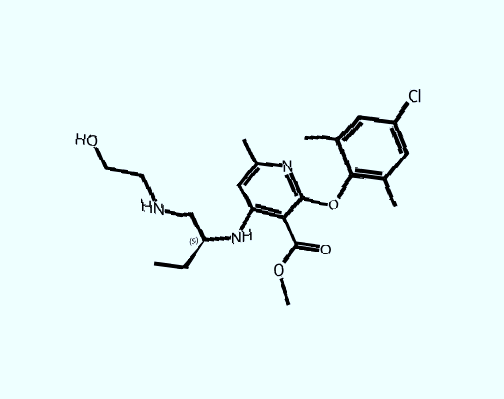 CC[C@@H](CNCCO)Nc1cc(C)nc(Oc2c(C)cc(Cl)cc2C)c1C(=O)OC